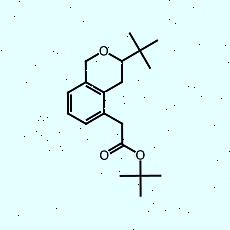 CC(C)(C)OC(=O)Cc1cccc2c1CC(C(C)(C)C)OC2